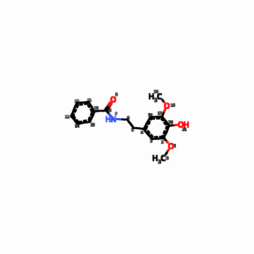 COc1cc(CCNC(=O)c2ccccc2)cc(OC)c1O